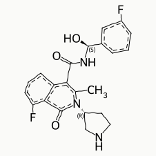 Cc1c(C(=O)N[C@@H](O)c2cccc(F)c2)c2cccc(F)c2c(=O)n1[C@@H]1CCNC1